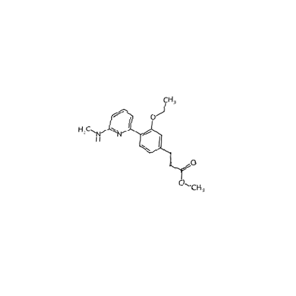 CCOc1cc(CCC(=O)OC)ccc1-c1cccc(NC)n1